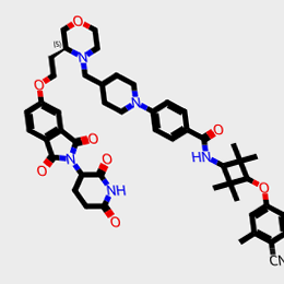 Cc1cc(OC2C(C)(C)C(NC(=O)c3ccc(N4CCC(CN5CCOC[C@@H]5CCOc5ccc6c(c5)C(=O)N(C5CCC(=O)NC5=O)C6=O)CC4)cc3)C2(C)C)cc(C)c1C#N